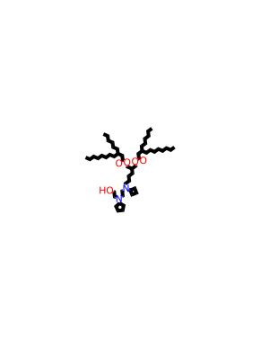 CCCCCCCCC(CCCCCC)CC(=O)OCC(CCCCN(CCN(CCO)C1CCCC1)C1CCC1)COC(=O)CC(CCCCCC)CCCCCCCC